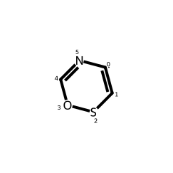 [C]1=CSOC=N1